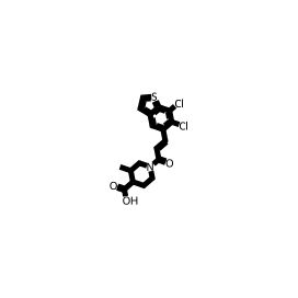 CC1CN(C(=O)C=Cc2cc3ccsc3c(Cl)c2Cl)CCC1C(=O)O